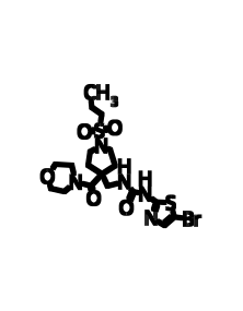 CCCS(=O)(=O)N1CCC(CNC(=O)Nc2ncc(Br)s2)(C(=O)N2CCOCC2)CC1